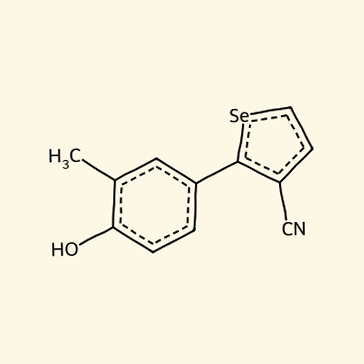 Cc1cc(-c2[se]ccc2C#N)ccc1O